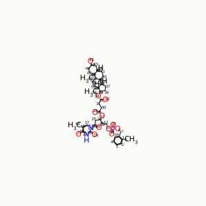 Cc1cccc2c1COP(=O)(OC[C@H]1O[C@@H](n3cc(C)c(=O)[nH]c3=O)CC1OC(=O)CCC(=O)O[C@H]1CC[C@H]3[C@@H]4CC[C@H]5CC(=O)CC[C@]5(C)C4CC[C@]13C)O2